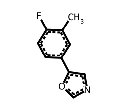 Cc1cc(-c2cnco2)ccc1F